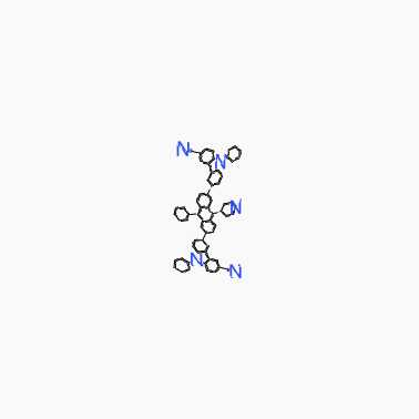 N#Cc1ccc2c(c1)c1cc(-c3ccc4c(-c5ccncc5)c5cc(-c6ccc7c(c6)c6cc(C#N)ccc6n7-c6ccccc6)ccc5c(-c5ccccc5)c4c3)ccc1n2-c1ccccc1